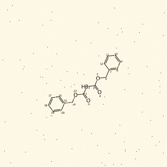 O=C(BC(=O)OCc1ccccc1)OCc1ccccc1